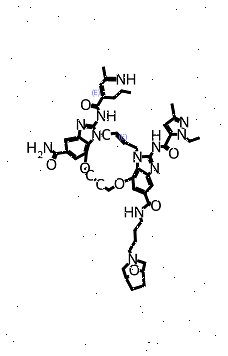 CCC/C(=C\C(C)=N)C(=O)Nc1nc2cc(C(N)=O)cc3c2n1C/C=C/Cn1c(NC(=O)c2cc(C)nn2CC)nc2cc(C(=O)NCCCCN4CC5CCC(C4)O5)cc(c21)OCCCO3